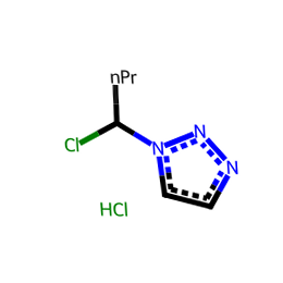 CCCC(Cl)n1ccnn1.Cl